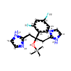 C[Si](C)(C)OC(Cc1ncc[nH]1)(Cc1ncc[nH]1)c1ccc(F)cc1F